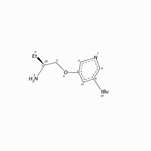 CC[C@H](N)COc1cncc(C(C)(C)C)c1